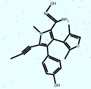 CC#Cc1c(-c2ccc(O)cc2)c(-c2c(C)coc2C)c(/C(N)=N/O)n1C